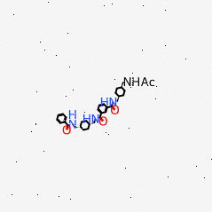 CC(=O)NC[C@H]1CC[C@@H](CNC(=O)c2cccc(C(=O)NC[C@H]3CC[C@@H](CNC(=O)c4ccccc4)CC3)c2)CC1